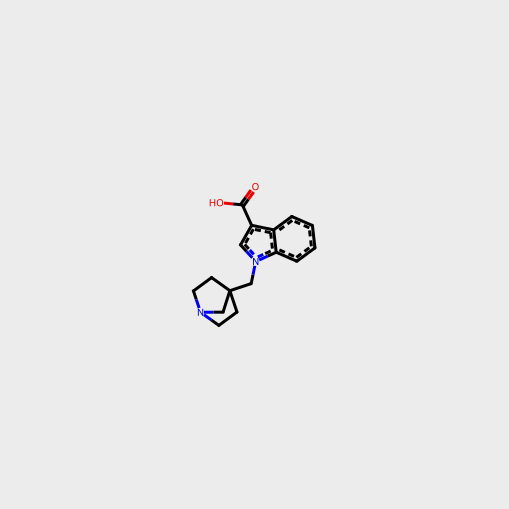 O=C(O)c1cn(CC23CCN(CC2)C3)c2ccccc12